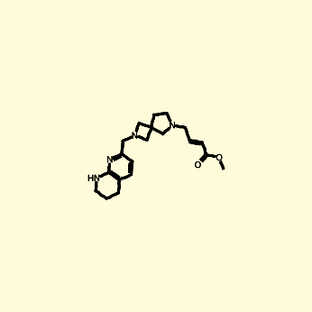 COC(=O)/C=C/CN1CCC2(C1)CN(Cc1ccc3c(n1)NCCC3)C2